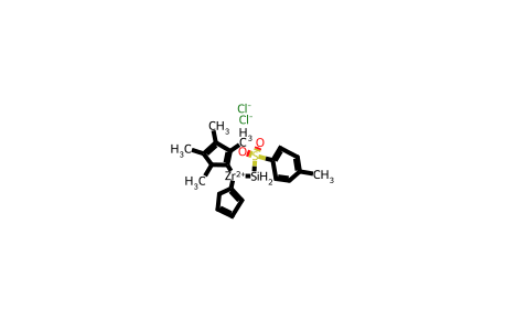 CC1=C(C)C(C)[C]([Zr+2]([SiH2]S(=O)(=O)c2ccc(C)cc2)[C]2=CC=CC2)=C1C.[Cl-].[Cl-]